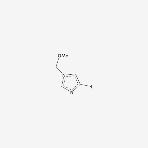 COCn1cnc(I)c1